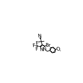 COc1ccc(Cn2nc(C(F)(F)F)c(C(C)(C)C#N)c2Br)cc1